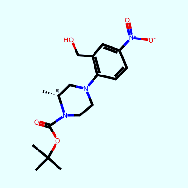 C[C@@H]1CN(c2ccc([N+](=O)[O-])cc2CO)CCN1C(=O)OC(C)(C)C